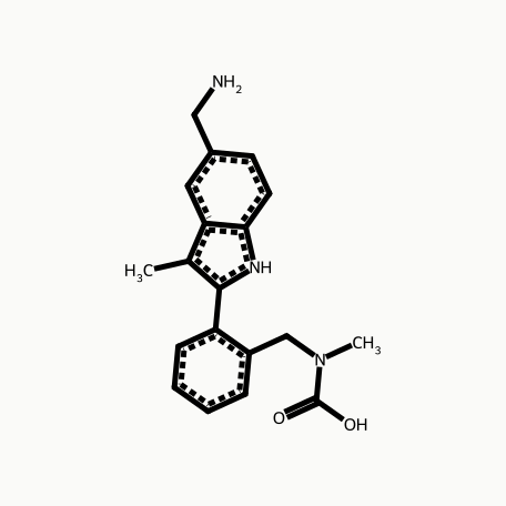 Cc1c(-c2ccccc2CN(C)C(=O)O)[nH]c2ccc(CN)cc12